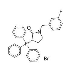 O=C1C([P+](c2ccccc2)(c2ccccc2)c2ccccc2)CCN1Cc1cccc(F)c1.[Br-]